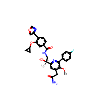 CCOc1c(CC(N)=O)cc([C@@](O)(CNC(=O)c2ccc(-c3cocn3)c(OC3CC3)c2)C(F)(F)F)nc1-c1ccc(F)cc1